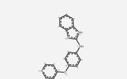 c1ccc2[nH]c(Nc3ccc(Oc4ccncc4)cc3)nc2c1